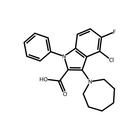 O=C(O)c1c(N2CCCCCC2)c2c(Cl)c(F)ccc2n1-c1ccccc1